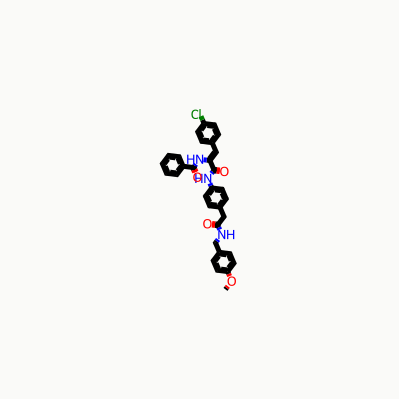 COc1ccc(CNC(=O)Cc2ccc(NC(=O)C(=Cc3ccc(Cl)cc3)NC(=O)c3ccccc3)cc2)cc1